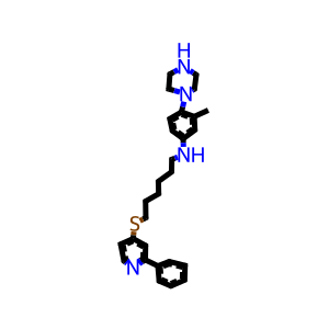 Cc1cc(NCCCCCCSc2ccnc(-c3ccccc3)c2)ccc1N1CCNCC1